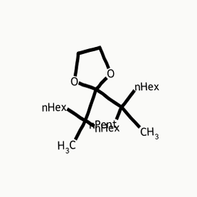 CCCCCCC(C)(CCCCC)C1(C(C)(CCCCCC)CCCCCC)OCCO1